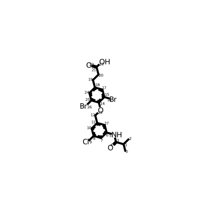 CC(C)C(=O)Nc1cc(Cl)cc(COc2c(Br)cc(CCC(=O)O)cc2Br)c1